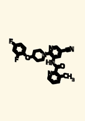 Cc1cccnc1C(=O)Nc1cc(C#N)cnc1N1CCC(Oc2ccc(F)cc2F)CC1